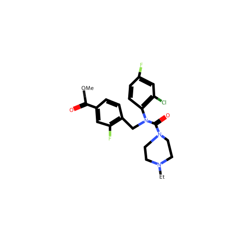 CCN1CCN(C(=O)N(Cc2ccc(C(=O)OC)cc2F)c2ccc(F)cc2Cl)CC1